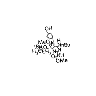 CCCCNc1nc(NC(=O)OC)nc2c(CO[Si](C)(C)C(C)(C)C)nn(Cc3ccc(CO)cc3OC)c12